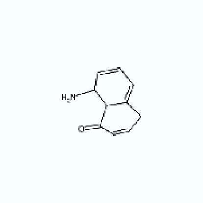 NC1C=CC=C2CC=CC(=O)C21